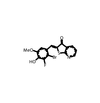 COc1cc(/C=C2\Sc3ncccc3C2=O)c(Br)c(F)c1O